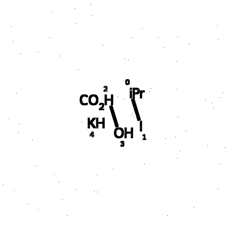 CC(C)I.O=C(O)O.[KH]